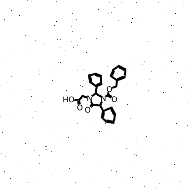 O=C(O)CN1C(=O)C(c2ccccc2)N(C(=O)OCc2ccccc2)C1c1ccccc1